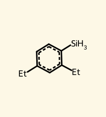 CCc1ccc([SiH3])c(CC)c1